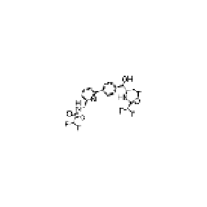 O=C(N[C@H](CF)[C@H](O)c1ccc(-c2cccc(CNS(=O)(=O)C(F)F)n2)cc1)C(F)F